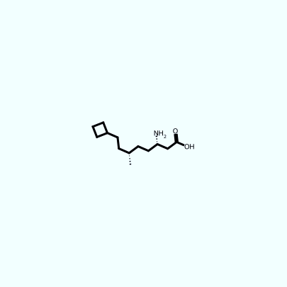 C[C@H](CCC1CCC1)CC[C@H](N)CC(=O)O